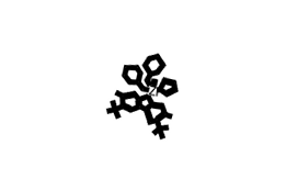 [CH2]=[Zr]([CH2]C1CCCCC1)([CH2]C1CCCCC1)([CH]1C=CC=C1)[CH]1c2cc(C)c(C(C)(C)C)cc2-c2cc(C(C)(C)C)c(C)cc21